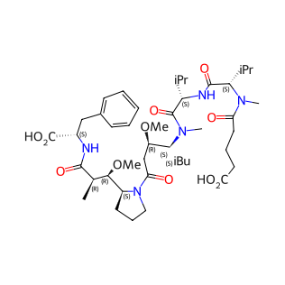 CC[C@H](C)[C@@H]([C@@H](CC(=O)N1CCC[C@H]1[C@H](OC)[C@@H](C)C(=O)N[C@@H](Cc1ccccc1)C(=O)O)OC)N(C)C(=O)[C@@H](NC(=O)[C@H](C(C)C)N(C)C(=O)CCCC(=O)O)C(C)C